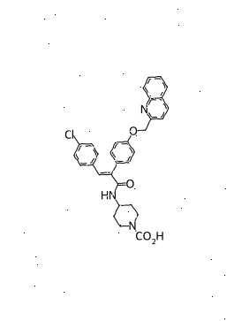 O=C(NC1CCN(C(=O)O)CC1)/C(=C/c1ccc(Cl)cc1)c1ccc(OCc2ccc3ccccc3n2)cc1